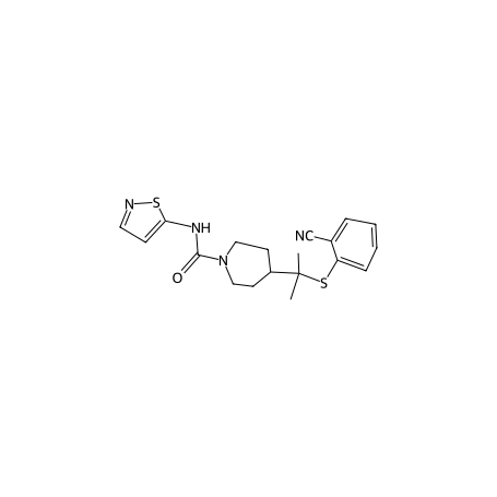 CC(C)(Sc1ccccc1C#N)C1CCN(C(=O)Nc2ccns2)CC1